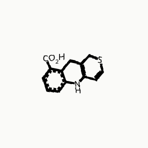 O=C(O)c1cccc2c1CC1=C(C=CSC1)N2